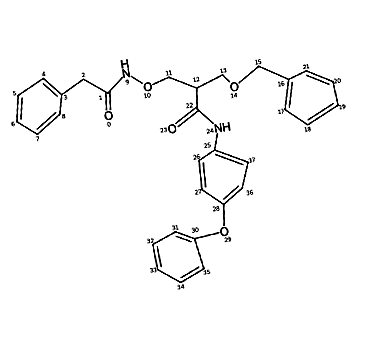 O=C(Cc1ccccc1)NOCC(COCc1ccccc1)C(=O)Nc1ccc(Oc2ccccc2)cc1